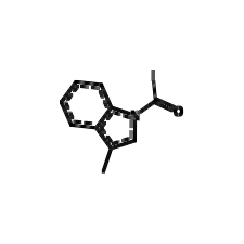 Cc1cn(C(=O)I)c2ccccc12